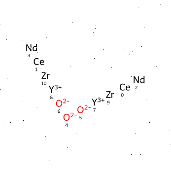 [Ce].[Ce].[Nd].[Nd].[O-2].[O-2].[O-2].[Y+3].[Y+3].[Zr].[Zr]